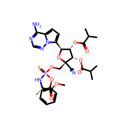 COC(=O)[C@H](C)NP(=S)(OC[C@@]1(C#N)O[C@@H](c2ccc3c(N)ncnn23)[C@H](OC(=O)C(C)C)[C@@H]1OC(=O)C(C)C)Oc1ccccc1